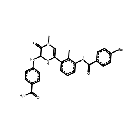 Cc1c(NC(=O)c2ccc(C(C)(C)C)cc2)cccc1C1=CN(C)C(=O)C(Nc2ccc(C(N)=O)cc2)N1